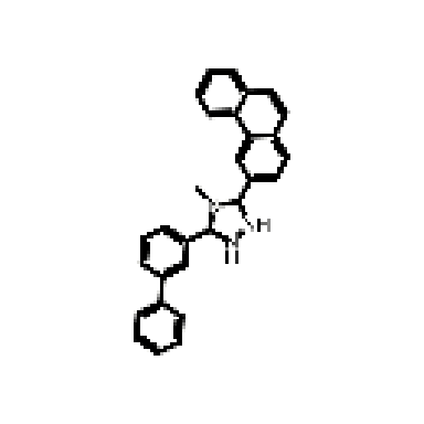 CN1C(c2cccc(-c3ccccc3)c2)NNC1c1ccc2ccc3ccccc3c2c1